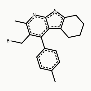 Cc1ccc(-c2c(CBr)c(C)nc3sc4c(c23)CCCC4)cc1